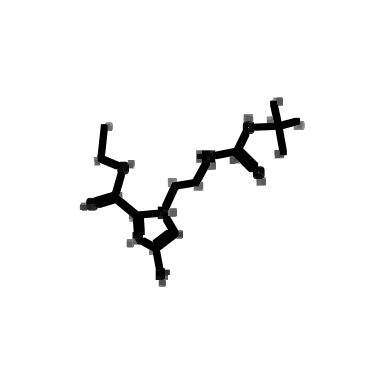 CCOC(=O)c1nc(Br)cn1CCNC(=O)OC(C)(C)C